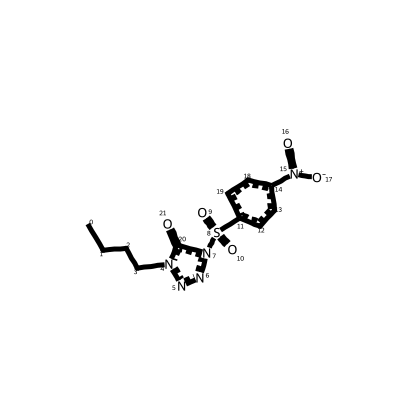 CCCCn1nnn(S(=O)(=O)c2ccc([N+](=O)[O-])cc2)c1=O